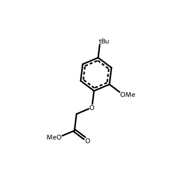 COC(=O)COc1ccc(C(C)(C)C)cc1OC